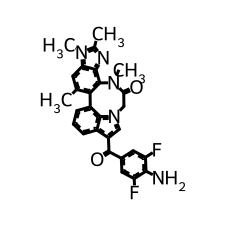 Cc1cc2c(nc(C)n2C)c2c1-c1cccc3c(C(=O)c4cc(F)c(N)c(F)c4)cn(c13)CC(=O)N2C